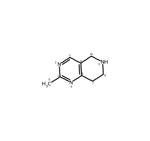 Cc1ncc2c(n1)CCNC2